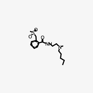 CCCCCN(C)CCCNC(=O)c1ccccc1CS(C)(=O)=O